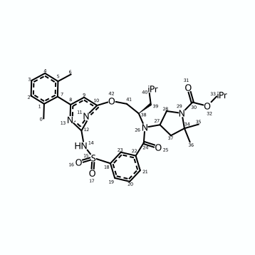 Cc1cccc(C)c1-c1cc2nc(n1)NS(=O)(=O)c1cccc(c1)C(=O)N(C1CN(C(=O)OC(C)C)C(C)(C)C1)[C@H](CC(C)C)CO2